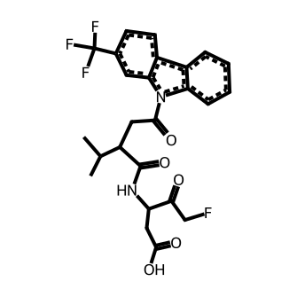 CC(C)C(CC(=O)n1c2ccccc2c2ccc(C(F)(F)F)cc21)C(=O)NC(CC(=O)O)C(=O)CF